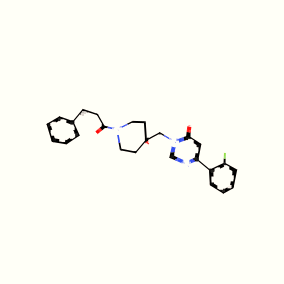 C[C@H](CC(=O)N1CCC(O)(Cn2cnc(-c3ccccc3F)cc2=O)CC1)c1ccccc1